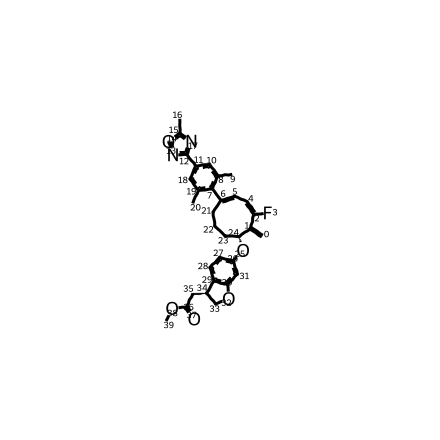 C=C1/C(F)=C\C=C(\c2c(C)cc(-c3noc(C)n3)cc2C)CCC[C@H]1Oc1ccc2c(c1)OC[C@H]2CC(=O)OC